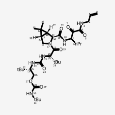 C=CCNC(=O)C(=O)C(CCC)NC(=O)[C@@H]1[C@@H]2[C@H](CN1C(=O)[C@@H](NC(=O)N[C@H](COC(=O)NC(C)(C)C)C(C)(C)C)C(C)(C)C)C2(C)C